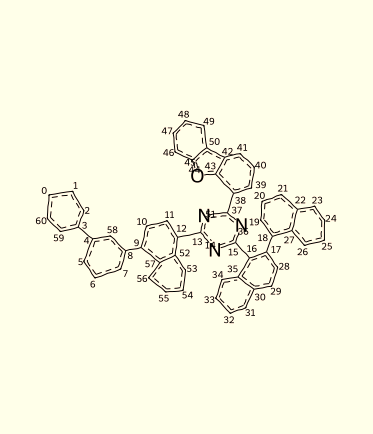 c1ccc(-c2cccc(-c3ccc(-c4nc(-c5c(-c6cccc7ccccc67)ccc6ccccc56)nc(-c5cccc6c5oc5ccccc56)n4)c4ccccc34)c2)cc1